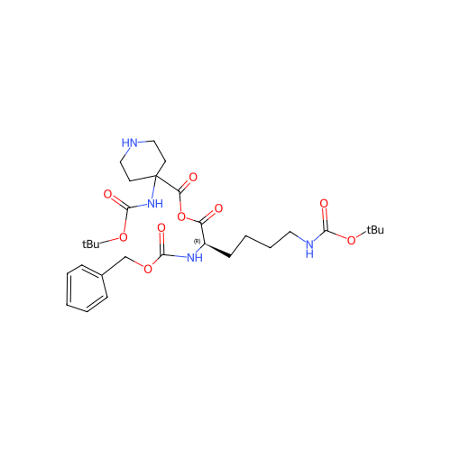 CC(C)(C)OC(=O)NCCCC[C@@H](NC(=O)OCc1ccccc1)C(=O)OC(=O)C1(NC(=O)OC(C)(C)C)CCNCC1